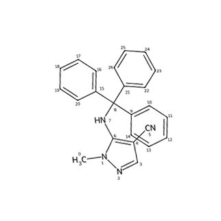 Cn1ncc(C#N)c1NC(c1ccccc1)(c1ccccc1)c1ccccc1